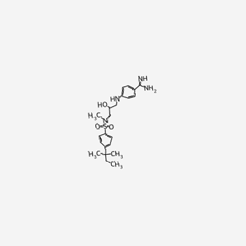 CCC(C)(C)c1ccc(S(=O)(=O)N(C)CC(O)CNc2ccc(C(=N)N)cc2)cc1